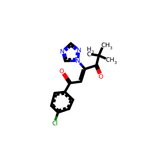 CC(C)(C)C(=O)/C(=C/C(=O)c1ccc(Cl)cc1)n1cncn1